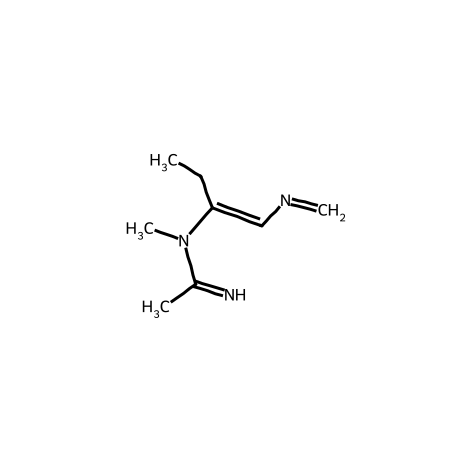 C=N/C=C(\CC)N(C)C(C)=N